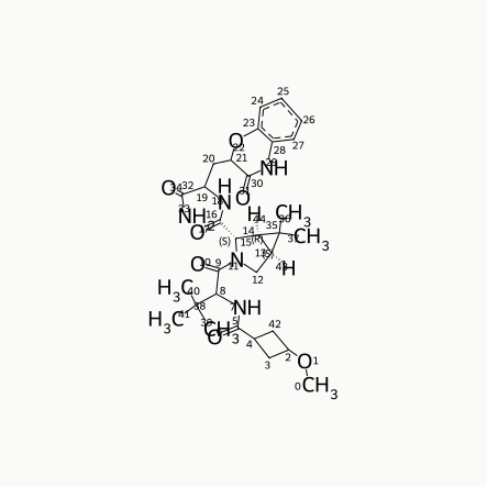 COC1CC(C(=O)NC(C(=O)N2C[C@H]3[C@@H]([C@H]2C(=O)NC(CC2Oc4ccccc4NC2=O)C(N)=O)C3(C)C)C(C)(C)C)C1